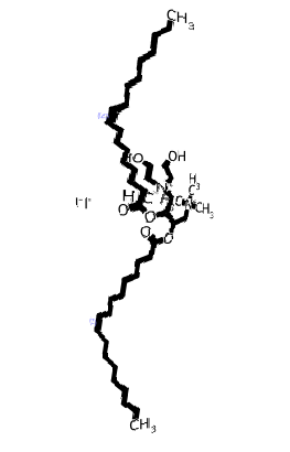 CCCCCCCC/C=C\CCCCCCCC(=O)OC(C[N+](C)(C)C)C(C[N+](C)(CCO)CCO)OC(=O)CCCCCCC/C=C\CCCCCCCC.[I-].[I-]